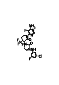 Nc1ncnc(N2CCC(C(F)(F)F)C(N3CCC[C@@H](Nc4cc(F)cc(Cl)c4)C3=O)C2=O)c1F